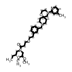 CCCCN(CC(OC)OC)C(=O)CCOCCc1cccc(CN2CCC3(CC2)CN(c2cc(C)ccn2)CCO3)c1